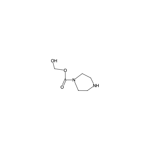 O=C(OCO)N1CCNCC1